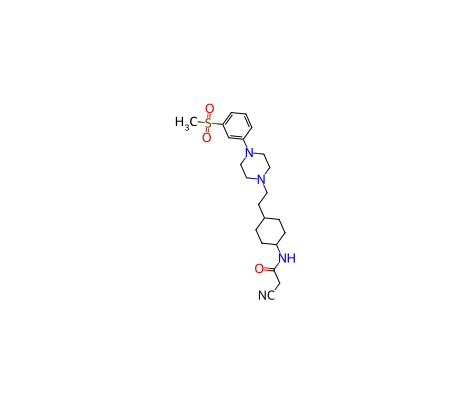 CS(=O)(=O)c1cccc(N2CCN(CCC3CCC(NC(=O)CC#N)CC3)CC2)c1